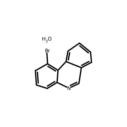 Brc1cccc2ncc3ccccc3c12.O